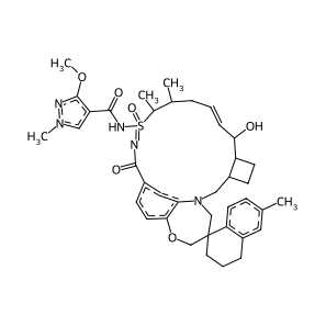 COc1nn(C)cc1C(=O)NS1(=O)=NC(=O)c2ccc3c(c2)N(CC2CCC2C(O)/C=C/CC(C)C1C)CC1(CCCc2cc(C)ccc21)CO3